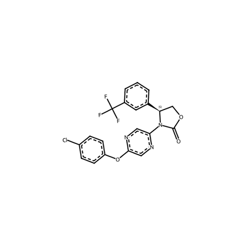 O=C1OC[C@H](c2cccc(C(F)(F)F)c2)N1c1cnc(Oc2ccc(Cl)cc2)cn1